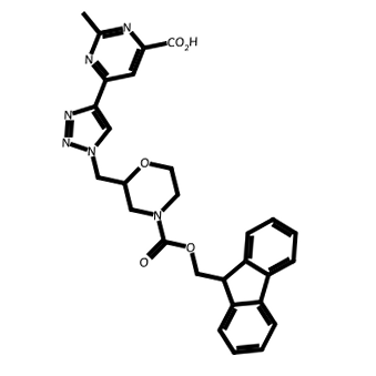 Cc1nc(C(=O)O)cc(-c2cn(CC3CN(C(=O)OCC4c5ccccc5-c5ccccc54)CCO3)nn2)n1